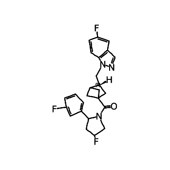 O=C(N1CC(F)CC1c1cccc(F)c1)C12CC(C1)[C@H](Cn1ncc3cc(F)ccc31)C2